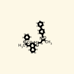 Cc1oc(-c2ccc(-c3ccccc3)cc2)nc1CCOc1ccc(CC(C)(Oc2ccccc2)C(=O)O)c2ccccc12